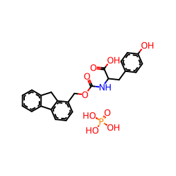 O=C(NC(Cc1ccc(O)cc1)C(=O)O)OCc1cccc2c1Cc1ccccc1-2.O=P(O)(O)O